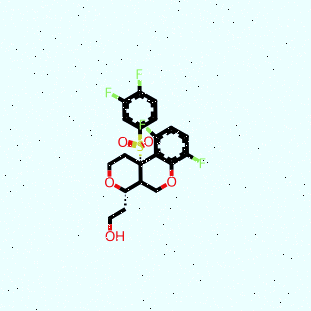 O=S(=O)(c1ccc(F)c(F)c1)[C@@]12CCO[C@@H](CCO)C1COc1c(F)ccc(F)c12